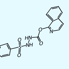 O=C(NNS(=O)(=O)c1ccccc1)Oc1nccc2ccccc12